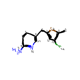 Cc1sc(Cc2ccc(N)nc2)cc1F